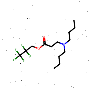 CCCCN(CCCC)CCC(=O)OCC(F)(F)C(F)(F)F